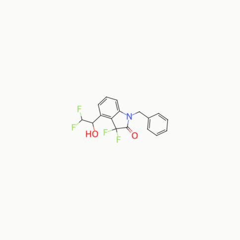 O=C1N(Cc2ccccc2)c2cccc(C(O)C(F)F)c2C1(F)F